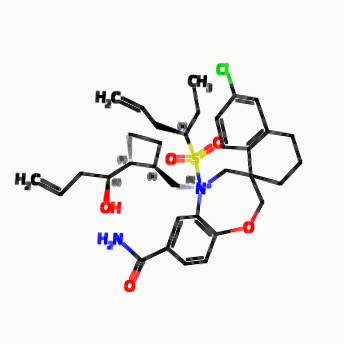 C=CC[C@@H](CC)S(=O)(=O)[N@@+]1(C[C@@H]2CC[C@H]2[C@@H](O)CC=C)CC2(CCCc3cc(Cl)ccc32)COc2ccc(C(N)=O)cc21